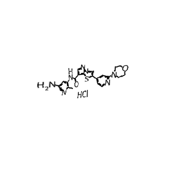 Cc1ncc(N)cc1NC(=O)c1cnn2cc(-c3ccnc(N4CCOCC4)c3)sc12.Cl